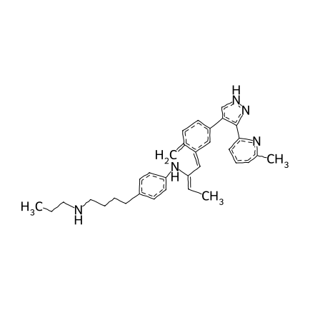 C=c1ccc(-c2c[nH]nc2-c2cccc(C)n2)c/c1=C/C(=C\C)Nc1ccc(CCCCNCCC)cc1